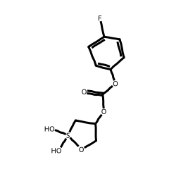 O=C(Oc1ccc(F)cc1)OC1COS(O)(O)C1